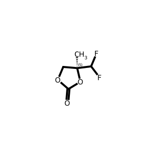 C[C@@]1(C(F)F)COC(=O)O1